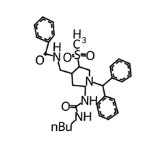 CCCCNC(=O)NC1CC(CNC(=O)c2ccccc2)C(S(C)(=O)=O)CN1C(c1ccccc1)c1ccccc1